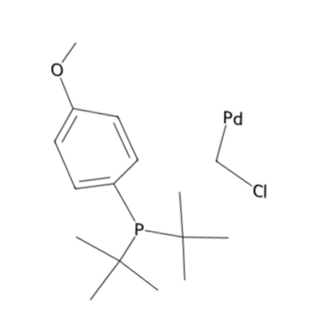 COc1ccc(P(C(C)(C)C)C(C)(C)C)cc1.Cl[CH2][Pd]